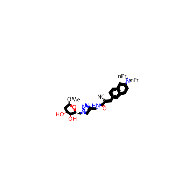 CCCN(CCC)c1ccc2cc(/C=C(\C#N)C(=O)NCc3cn(C[C@H]4O[C@H](OC)C[C@@H](O)[C@@H]4O)nn3)ccc2c1